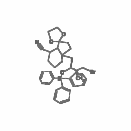 C=C(CBr)[C@H](CC12CCCC(C#N)C1C1(CC2)OCCO1)O[Si](c1ccccc1)(c1ccccc1)c1ccccc1